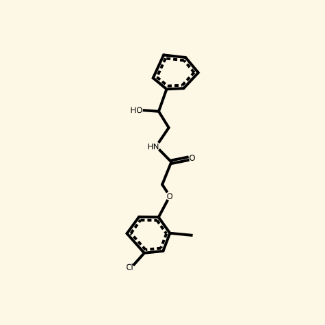 Cc1cc(Cl)ccc1OCC(=O)NCC(O)c1ccccc1